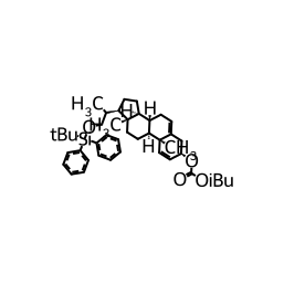 CC(C)COC(=O)O[C@H]1C=C[C@@]2(C)C(=CC[C@H]3[C@@H]4CC[C@H](C(C)CO[Si](c5ccccc5)(c5ccccc5)C(C)(C)C)[C@@]4(C)CC[C@@H]32)C1